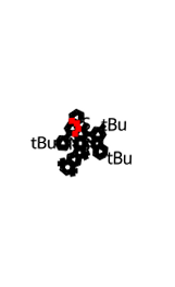 CC(C)(C)c1ccc(N2C3=C(B4c5c2cc2c(sc6ccccc62)c5-c2cc(C(C)(C)C)cc5c6cc(C(C)(C)C)ccc6n4c25)C(C)(C)c2cc4c(cc23)C(C)(C)CCC4(C)C)c(-c2ccccc2)c1